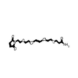 NC(=O)CCOCCOCCOCCOCCN1C(=O)C=CC1=O